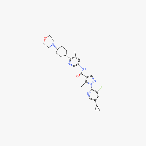 Cc1cc(NC(=O)c2cnn(-c3ncc(C4CC4)cc3F)c2C)cnc1[C@H]1CC[C@H](N2CCOCC2)CC1